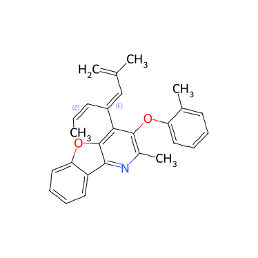 C=C(C)/C=C(\C=C/C)c1c(Oc2ccccc2C)c(C)nc2c1oc1ccccc12